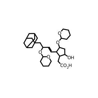 O=C(O)CC1C(O)CC(OC2CCCCO2)C1C=CC(CC12CC3CC(CC(C3)C1)C2)OC1CCCCO1